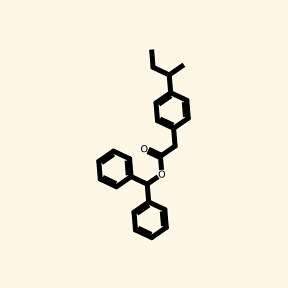 CCC(C)c1ccc(CC(=O)OC(c2ccccc2)c2ccccc2)cc1